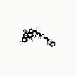 C[C@H](CCC(=O)OCCC(=O)OC(CF)C(F)F)[C@H]1CC[C@H]2[C@@H]3C(=O)CC4CC(=O)CC[C@]4(C)[C@H]3CC(=O)[C@]12C